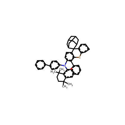 CC1(C)CCC(C)(C)c2c(N(c3ccc(-c4ccccc4)cc3)c3ccc4c(c3-c3ccccc3)Sc3ccccc3C43C4CC5CC(C4)CC3C5)cccc21